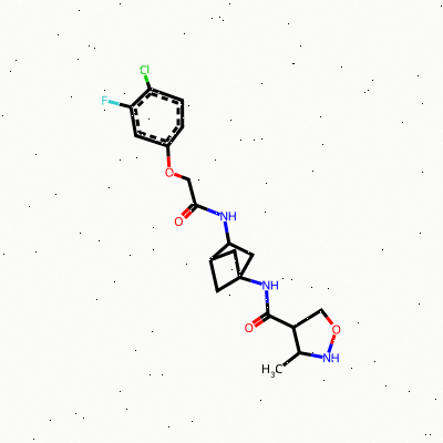 CC1NOCC1C(=O)NC12CC(C1)C(NC(=O)COc1ccc(Cl)c(F)c1)C2